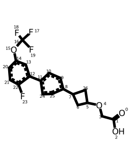 O=C(O)COC1CC(c2ccc(-c3cc(OC(F)(F)F)ccc3F)cc2)C1